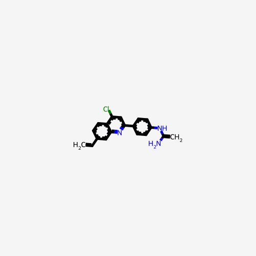 C=Cc1ccc2c(Cl)cc(-c3ccc(NC(=C)N)cc3)nc2c1